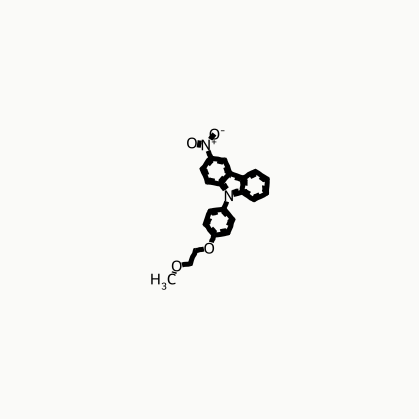 COCCOc1ccc(-n2c3ccccc3c3cc([N+](=O)[O-])ccc32)cc1